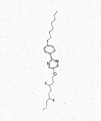 CCCCCCCCc1ccc(-c2ncc(OCCC(F)CCC(F)CCC)cn2)cc1